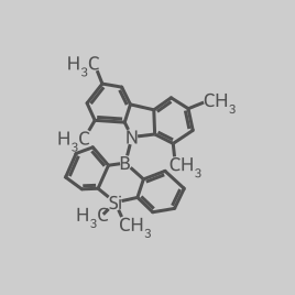 Cc1cc(C)c2c(c1)c1cc(C)cc(C)c1n2B1c2ccccc2[Si](C)(C)c2ccccc21